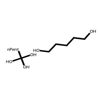 CCCCCC(O)(O)O.OCCCCCO